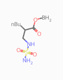 BOC(=O)C(CCCC)CNS(N)(=O)=O